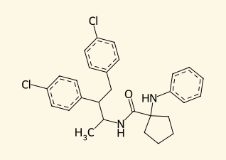 CC(NC(=O)C1(Nc2ccccc2)CCCC1)C(Cc1ccc(Cl)cc1)c1ccc(Cl)cc1